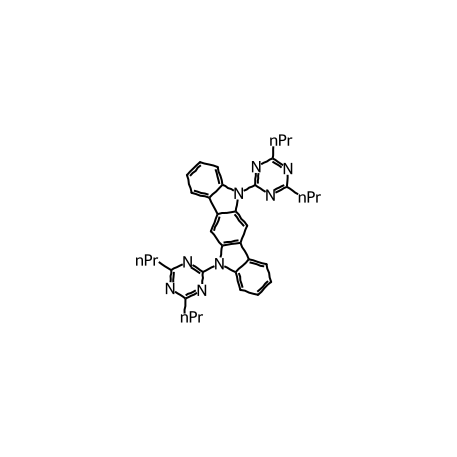 CCCc1nc(CCC)nc(-n2c3ccccc3c3cc4c(cc32)c2ccccc2n4-c2nc(CCC)nc(CCC)n2)n1